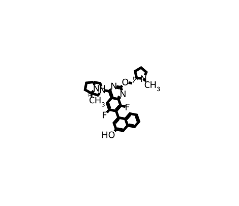 CN1CCC[C@H]1COc1nc(N2CC3CC[C@@](C)(C2)N3)c2cc(F)c(-c3cc(O)cc4ccccc34)c(F)c2n1